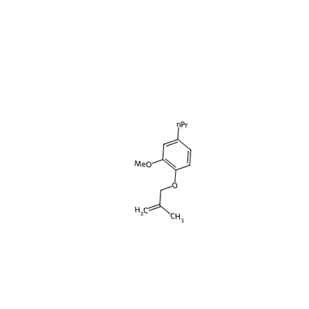 [CH2]CCc1ccc(OCC(=C)C)c(OC)c1